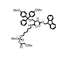 CCC(COC)OP(=O)(OC)OCCCCCNC(=O)C(COC(c1ccccc1)(c1ccc(OC)cc1)c1ccc(OC)cc1)NC(=O)OCC1c2ccccc2-c2ccccc21